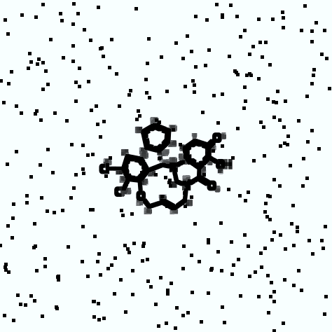 O=C1c2c(O)c(=O)ccn2N2CN1C/C=C/COc1c(ccc(Cl)c1Cl)[C@@H]2c1ccccc1